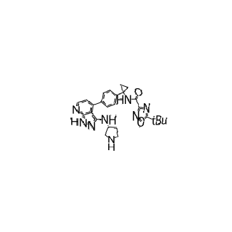 CC(C)(C)c1nc(C(=O)NC2(c3ccc(-c4ccnc5[nH]nc(N[C@@H]6CCNC6)c45)cc3)CC2)no1